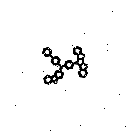 C1=CC2=C(CC1)SC1C3Sc4ccccc4C3N(c3ccc(N(c4ccc(-c5ccccc5)cc4)c4ccc5oc6ccccc6c5c4)cc3)C21